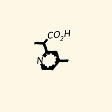 Cc1ccnc(C(C)C(=O)O)c1